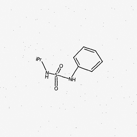 CC(C)NS(=O)(=O)Nc1ccccc1